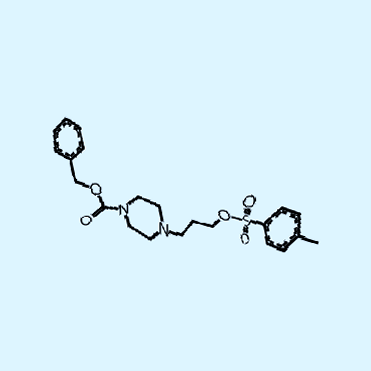 Cc1ccc(S(=O)(=O)OCCCN2CCN(C(=O)OCc3ccccc3)CC2)cc1